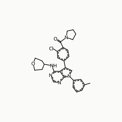 Cc1cccc(-n2cc(-c3ccc(C(=O)N4CCCC4)c(Cl)c3)c3c(NC4CCOCC4)ncnc32)c1